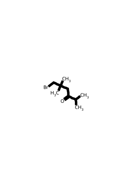 CC(C)C(=O)CC(C)(C)CBr